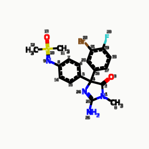 CN1C(=O)C(c2ccc(N=S(C)(C)=O)cc2)(c2ccc(F)c(Br)c2)N=C1N